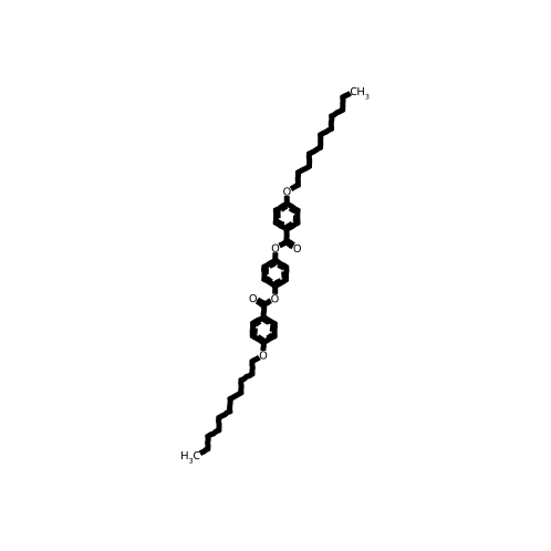 CCCCCCCCCCCOc1ccc(C(=O)Oc2ccc(OC(=O)c3ccc(OCCCCCCCCCCC)cc3)cc2)cc1